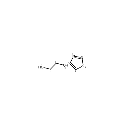 OCCO.c1csnn1